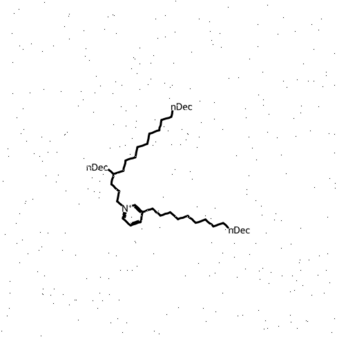 CCCCCCCCCCCCCCCCCCCc1ccc[n+](CCCC(CCCCCCCCCC)CCCCCCCCCCCCCCCCCCC)c1